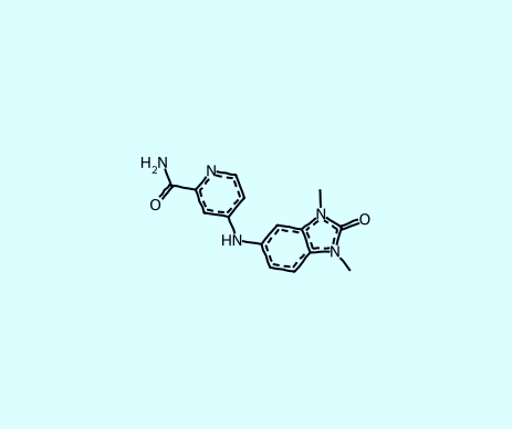 Cn1c(=O)n(C)c2cc(Nc3ccnc(C(N)=O)c3)ccc21